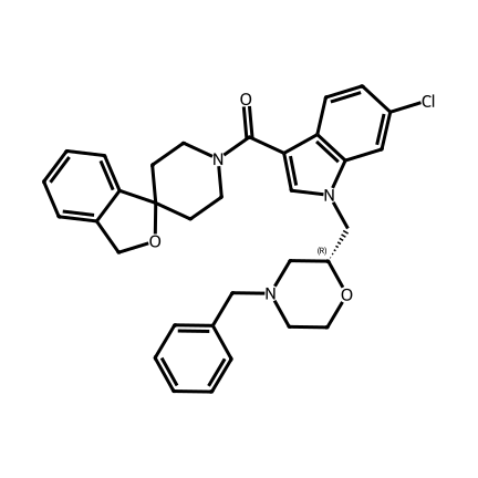 O=C(c1cn(C[C@H]2CN(Cc3ccccc3)CCO2)c2cc(Cl)ccc12)N1CCC2(CC1)OCc1ccccc12